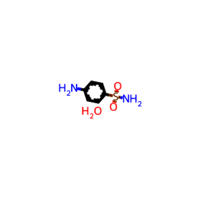 Nc1ccc(S(N)(=O)=O)cc1.O